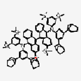 C[Si](C)(C)c1cc(N(c2cc(C3CC4CCC3C4)cc(C3CC4CCC3C4)c2)c2c3ccccc3c(-c3c4ccccc4c(N(c4cc(C5CC6CCC5C6)cc(C5CC6CCC5C6)c4)c4cc([Si](C)(C)C)cc([Si](C)(C)C)c4)c4cc([Si](C)(C)C)ccc34)c3cc([Si](C)(C)C)ccc23)cc([Si](C)(C)C)c1